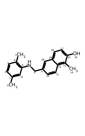 Cc1ccc(C)c(NCc2ccc3c(C)c(O)ccc3c2)c1